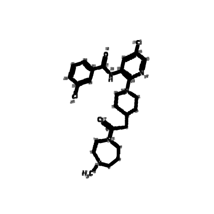 CN1CCCN(C(=O)CC2CCN(c3ncc(Cl)cc3NC(=O)c3cccc(Cl)c3)CC2)CC1